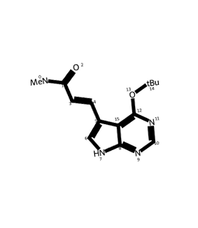 CNC(=O)/C=C/c1c[nH]c2ncnc(OC(C)(C)C)c12